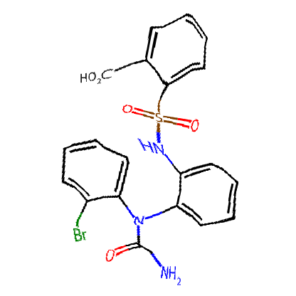 NC(=O)N(c1ccccc1Br)c1ccccc1NS(=O)(=O)c1ccccc1C(=O)O